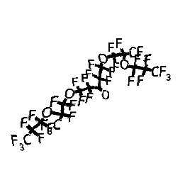 O=C(C(F)(F)C(F)(F)OC(F)(F)C(F)(OC(F)(F)C(F)(F)C(F)(F)F)C(F)(F)F)C(F)(F)C(F)(F)OC(F)(F)C(F)(OC(F)(F)C(F)(F)C(F)(F)F)C(F)(F)F